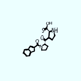 O=C(C1CCN[C@@H]1C(O)=S)[C@@H]1CCCN1C(=O)C1=Cc2ccccc2C1